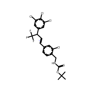 CC(C)(C)OC(=S)NCc1ccc(/C=C/C(c2cc(Cl)c(Cl)c(Cl)c2)C(F)(F)F)cc1Cl